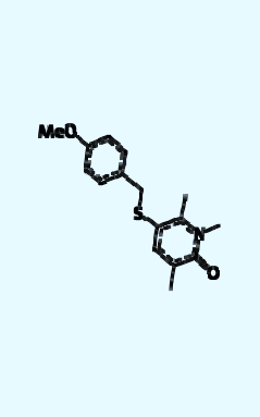 COc1ccc(CSc2cc(C)c(=O)n(C)c2C)cc1